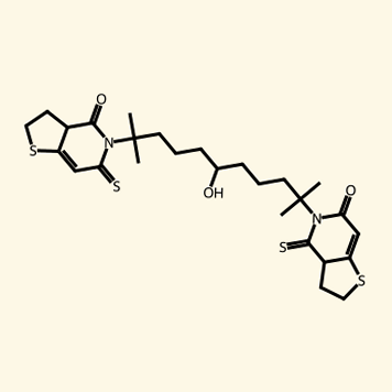 CC(C)(CCCC(O)CCCC(C)(C)N1C(=O)C=C2SCCC2C1=S)N1C(=O)C2CCSC2=CC1=S